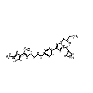 NCC(O)Cn1cc(-c2ccc(OCCO/N=C(\C=O)c3csc(N)n3)cc2)c[n+]1CC1CNC1